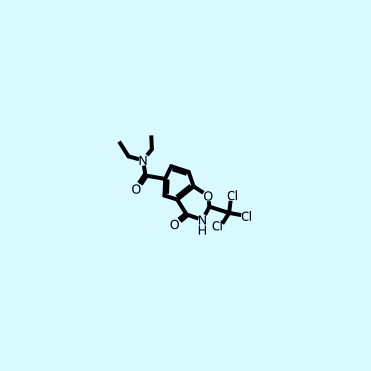 CCN(CC)C(=O)c1ccc2c(c1)C(=O)NC(C(Cl)(Cl)Cl)O2